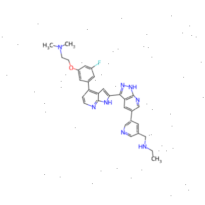 CCNCc1cncc(-c2cnc3[nH]nc(-c4cc5c(-c6cc(F)cc(OCCN(C)C)c6)ccnc5[nH]4)c3c2)c1